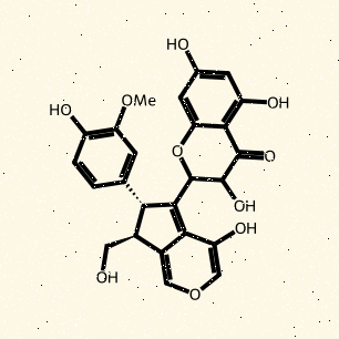 COc1cc([C@@H]2C(C3Oc4cc(O)cc(O)c4C(=O)C3O)=C3C(O)=COC=C3[C@H]2CO)ccc1O